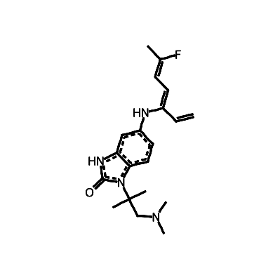 C=C/C(=C/C=C(/C)F)Nc1ccc2c(c1)[nH]c(=O)n2C(C)(C)CN(C)C